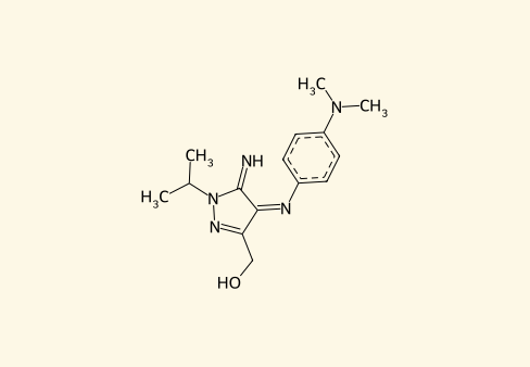 CC(C)N1N=C(CO)C(=Nc2ccc(N(C)C)cc2)C1=N